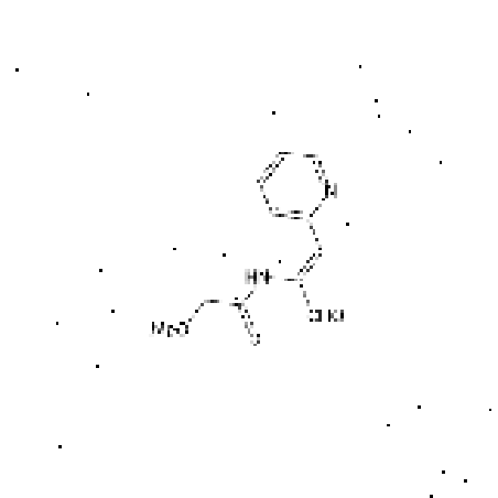 COCC(=O)NC([C]=O)=Cc1ccccn1